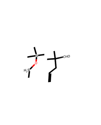 C=CCC(C)(C)C=O.C[SiH2]O[Si](C)(C)C